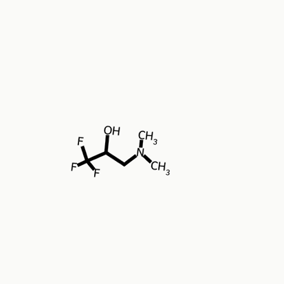 CN(C)CC(O)C(F)(F)F